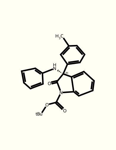 Cc1cccc([C@]2(Nc3ccccc3)C(=O)N(C(=O)OC(C)(C)C)c3ccccc32)c1